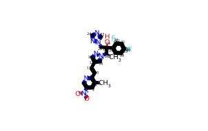 Cc1cc([N+](=O)[O-])cnc1C=Cc1cnn([C@H](C)[C@](O)(Cn2cncn2)c2ccc(F)cc2F)c1